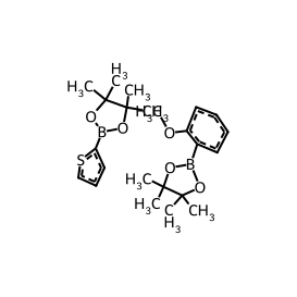 CC1(C)OB(c2cccs2)OC1(C)C.COc1ccccc1B1OC(C)(C)C(C)(C)O1